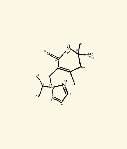 CC1=C(C[N+]2(C(C)C)C=CC=N2)C(=O)NC(C)(Br)C1